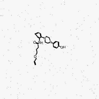 C=CCOCCCC(=O)Nc1ccccc1N1CCN(c2ccc(O)cc2)CC1